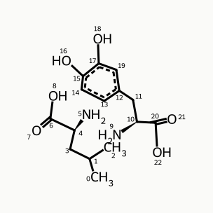 CC(C)C[C@H](N)C(=O)O.N[C@@H](Cc1ccc(O)c(O)c1)C(=O)O